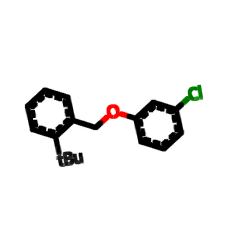 CC(C)(C)c1ccccc1COc1cccc(Cl)c1